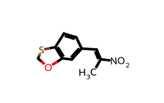 CC(=Cc1ccc2c(c1)OCS2)[N+](=O)[O-]